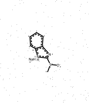 C[S+]([O-])c1nc2ccccc2[nH]1.[NaH]